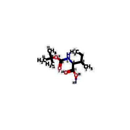 CCC(C)[C@H](NC(=O)OC(C)(C)C)C(=O)OI